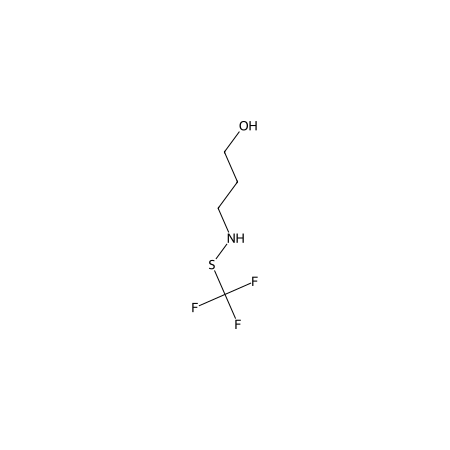 OCCCNSC(F)(F)F